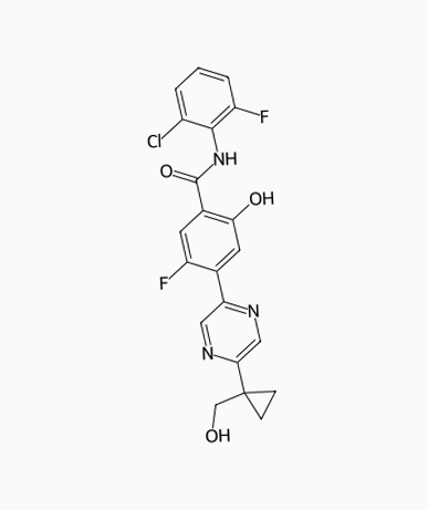 O=C(Nc1c(F)cccc1Cl)c1cc(F)c(-c2cnc(C3(CO)CC3)cn2)cc1O